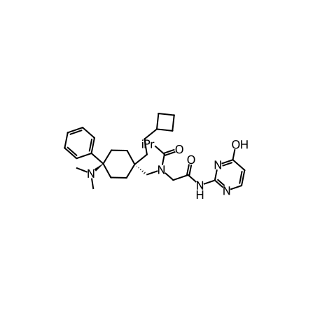 CC(C)C(=O)N(CC(=O)Nc1nccc(O)n1)C[C@]1(CCC2CCC2)CC[C@@](c2ccccc2)(N(C)C)CC1